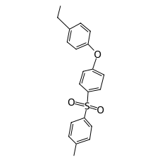 CCc1ccc(Oc2ccc(S(=O)(=O)c3ccc(C)cc3)cc2)cc1